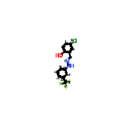 Oc1ccc(Cl)cc1/C=N/Nc1cccc(C(F)(F)F)c1